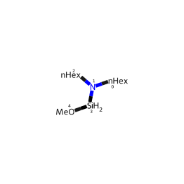 CCCCCCN(CCCCCC)[SiH2]OC